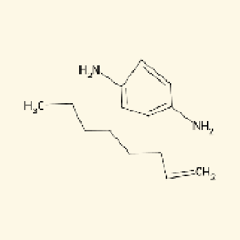 C=CCCCCCC.Nc1ccc(N)cc1